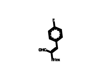 CCCCCCC(C=O)=Cc1ccc(F)cc1